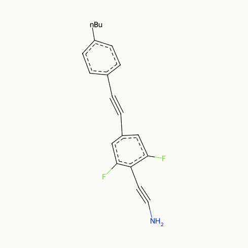 CCCCc1ccc(C#Cc2cc(F)c(C#CN)c(F)c2)cc1